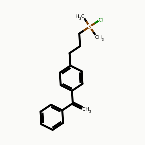 C=C(c1ccccc1)c1ccc(CCCS(C)(C)Cl)cc1